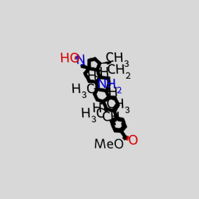 C=C(C)[C@@H]1CCC2(/C=N/O)CC[C@]3(N)[C@H](CC[C@@H]4[C@@]5(C)CC=C(c6ccc(C(=O)OC)cc6)C(C)(C)[C@@H]5CC[C@]43C)[C@@H]12